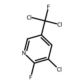 Fc1ncc(C(F)(Cl)Cl)cc1Cl